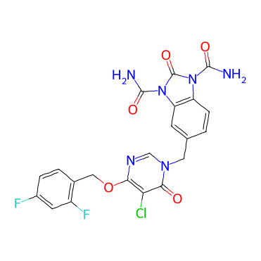 NC(=O)n1c(=O)n(C(N)=O)c2cc(Cn3cnc(OCc4ccc(F)cc4F)c(Cl)c3=O)ccc21